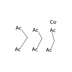 CC(=O)CC(C)=O.CC(=O)CC(C)=O.CC(=O)CC(C)=O.[Co]